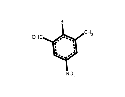 Cc1cc([N+](=O)[O-])cc(C=O)c1Br